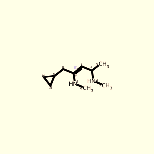 CN/C(=C\C(C)NC)CC1CC1